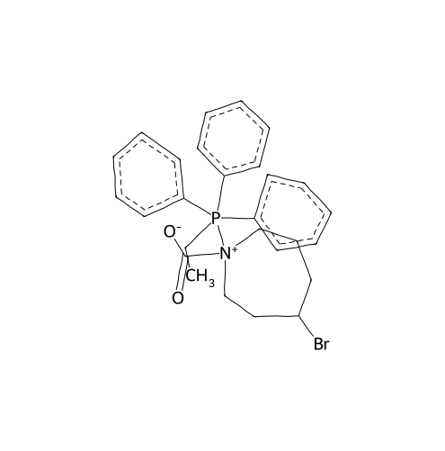 CCP(c1ccccc1)(c1ccccc1)(c1ccccc1)[N+]1(C(=O)[O-])CCCC(Br)CC1